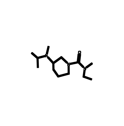 CCN(C)C(=O)N1CCCC(N(C)C(C)C)C1